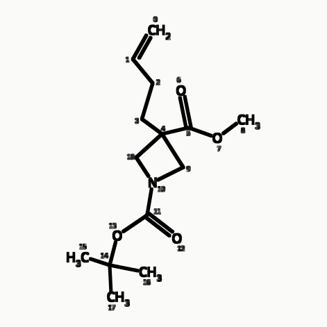 C=CCCC1(C(=O)OC)CN(C(=O)OC(C)(C)C)C1